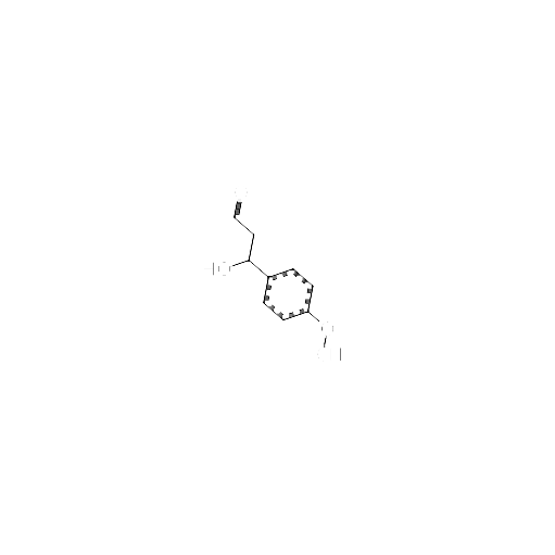 COc1ccc(C(O)CC=O)cc1